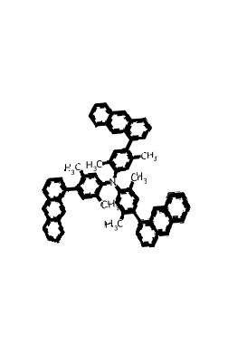 Cc1cc(N(c2cc(C)c(-c3cccc4cc5ccccc5cc34)cc2C)c2cc(C)c(-c3cccc4cc5ccccc5cc34)cc2C)c(C)cc1-c1cccc2cc3ccccc3cc12